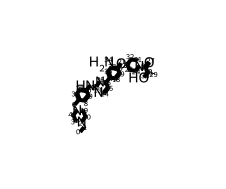 CCN1CCN(Cc2ccc(Nc3nccc(-c4ccc(OC5CCN(C(=O)[C@H](C)O)CC5)c(N)c4)n3)cc2)CC1